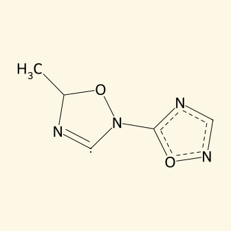 CC1N=[C]N(c2ncno2)O1